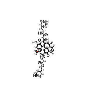 COc1c2c3c4c(c(NCC(=O)NCCN5CCNCC5)c(=O)c5c(O)cc(OC)c(c6c(OC)cc(NCCC(=O)OCCC7CCNCC7)c(c1=O)c63)c54)C=C(C)C2C(C)=O